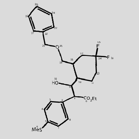 CCOC(=O)C(c1ccc(SC)cc1)C(O)C1CCC(F)(F)CC1COCc1ccccc1